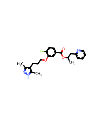 Cc1n[nH]c(C)c1CCCOc1cc(C(=O)OC(C)Cc2ccccn2)ccc1F